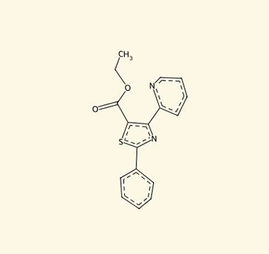 CCOC(=O)c1sc(-c2ccccc2)nc1-c1ccccn1